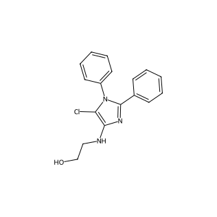 OCCNc1nc(-c2ccccc2)n(-c2ccccc2)c1Cl